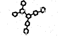 c1ccc(-c2cc(-c3ccccc3)nc(-c3cc(-c4ccc(-c5ccncc5)cc4)cc(-c4ccc(-c5cnccn5)cc4)c3)n2)cc1